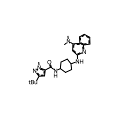 CN(C)c1cc(NC2CCC(NC(=O)c3cc(C(C)(C)C)nn3C)CC2)nc2ccccc12